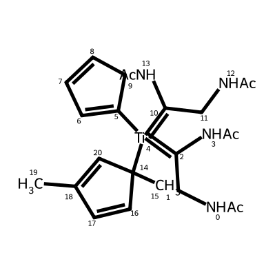 CC(=O)NC[C](NC(C)=O)=[Ti]([C]1=CC=CC1)(=[C](CNC(C)=O)NC(C)=O)[C]1(C)C=CC(C)=C1